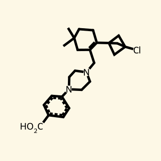 CC1(C)CCC(C23CC(Cl)(C2)C3)=C(CN2CCN(c3ccc(C(=O)O)cc3)CC2)C1